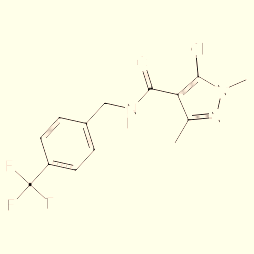 Cc1nn(C)c(Cl)c1C(=O)NCc1ccc(C(F)(F)F)cc1